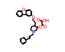 C(=C\c1ccccc1)/CN1CCC(CCOc2ccc3oc4ccccc4c3c2)CC1.O=C(O)C(=O)O